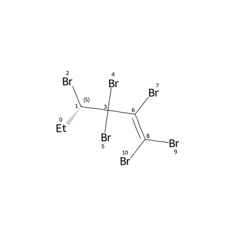 CC[C@H](Br)C(Br)(Br)C(Br)=C(Br)Br